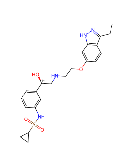 CCc1n[nH]c2cc(OCCNC[C@H](O)c3cccc(NS(=O)(=O)C4CC4)c3)ccc12